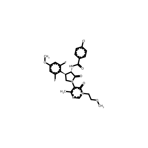 COCCn1cnc(C)c(N2C[C@@H](c3c(F)cc(OC)cc3F)[C@H](NC(=O)c3ccc(Cl)cc3)C2=O)c1=O